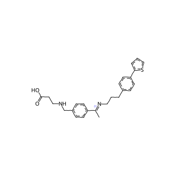 C/C(=N\CCCc1ccc(-c2cccs2)cc1)c1ccc(CNCCC(=O)O)cc1